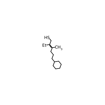 CC/C(CS)=C(/C)CCCC1CCCCC1